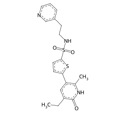 CCc1cc(-c2ccc(S(=O)(=O)NCCc3cccnc3)s2)c(C)[nH]c1=O